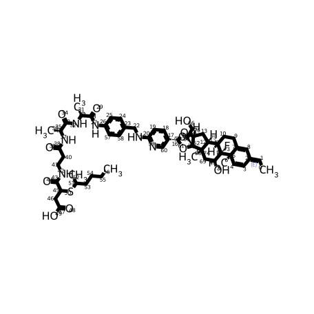 C/C=C1\C=C[C@@]2(C)C(=C1)CC[C@H]1[C@@H]3C[C@H]4O[C@@H](c5ccc(NCc6ccc(NC(=O)[C@H](C)NC(=O)[C@H](C)NC(=O)CCNC(=O)C(CC(=O)O)SC(C)CCCC)cc6)nc5)O[C@@]4(C(=O)CO)[C@@]3(C)C[C@H](O)[C@@]12F